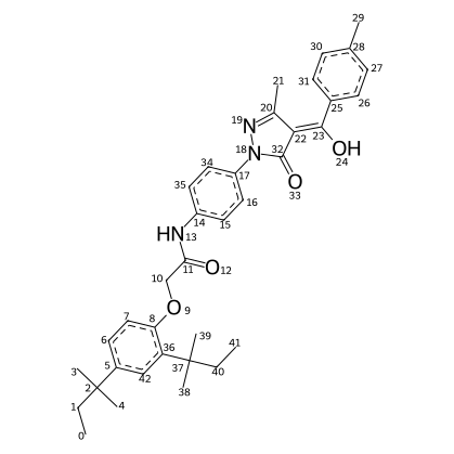 CCC(C)(C)c1ccc(OCC(=O)Nc2ccc(N3N=C(C)/C(=C(/O)c4ccc(C)cc4)C3=O)cc2)c(C(C)(C)CC)c1